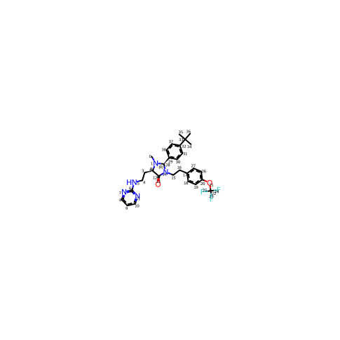 CN1[C@H](CCNc2ncccn2)C(=O)N(CCc2ccc(OC(F)(F)F)cc2)[C@@H]1c1ccc(C(C)(C)C)cc1